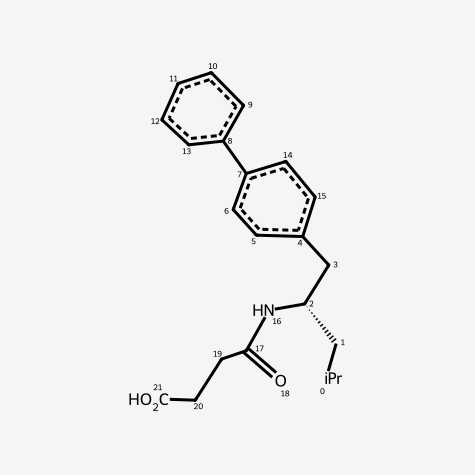 CC(C)C[C@@H](Cc1ccc(-c2ccccc2)cc1)NC(=O)CCC(=O)O